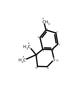 Cc1ccc2c(c1)C(C)(C)CCS2